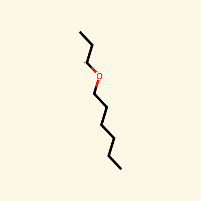 CC[CH]OCCCCCC